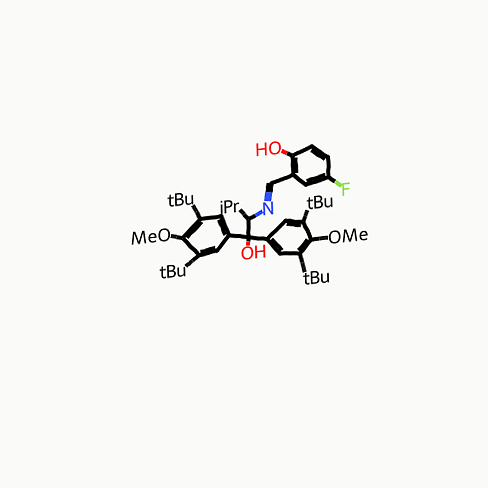 COc1c(C(C)(C)C)cc(C(O)(c2cc(C(C)(C)C)c(OC)c(C(C)(C)C)c2)C(N=Cc2cc(F)ccc2O)C(C)C)cc1C(C)(C)C